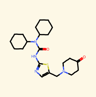 O=C1CCN(Cc2cnc(NC(=O)N(C3CCCCC3)C3CCCCC3)s2)CC1